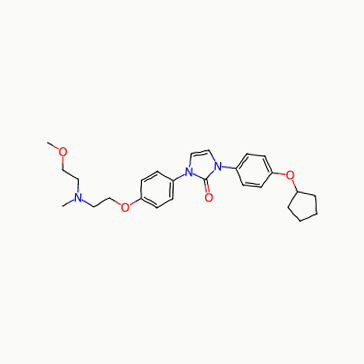 COCCN(C)CCOc1ccc(-n2ccn(-c3ccc(OC4CCCC4)cc3)c2=O)cc1